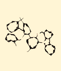 Cc1cc(-c2ccc3c(c2Nc2ccccc2C)-c2ccccc2C3(C)C)c2c(c1)-n1c3ccccc3c3cccc(c31)B2